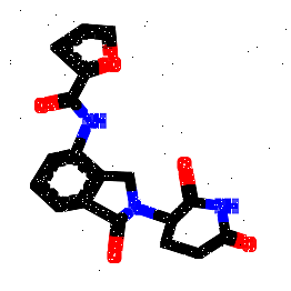 O=C1CCC(N2Cc3c(NC(=O)c4ccco4)cccc3C2=O)C(=O)N1